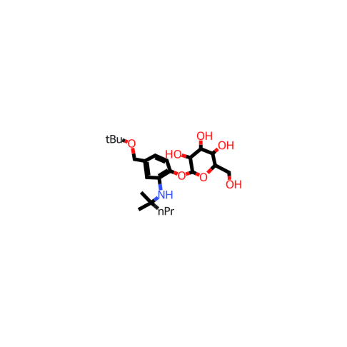 CCCC(C)(C)Nc1cc(COC(C)(C)C)ccc1OC1OC(CO)C(O)C(O)C1O